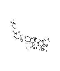 Cc1cc(-c2[nH]c3ccc(OC4CCN(CCCC(F)(F)F)CC4)cc3c2C(C)C)cn(C)c1=O